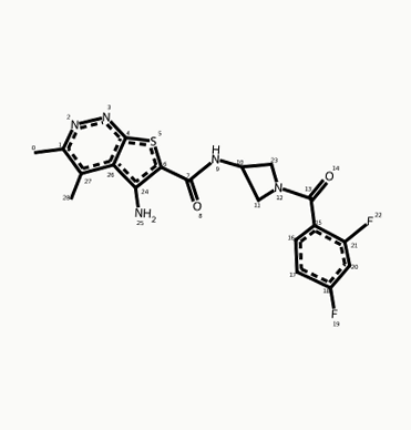 Cc1nnc2sc(C(=O)NC3CN(C(=O)c4ccc(F)cc4F)C3)c(N)c2c1C